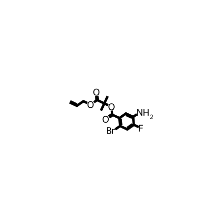 C=CCOC(=O)C(C)(C)OC(=O)c1cc(N)c(F)cc1Br